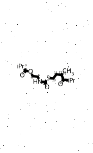 CC(C)C(=O)OCCNC(=O)SCCC(C)C(=O)C(C)C